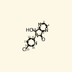 O=C1c2nccnc2[C@H](O)N1c1ccc(Cl)cn1